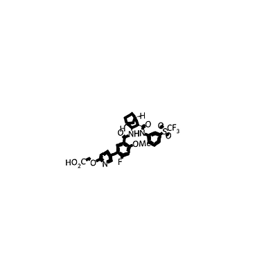 COc1cc(F)c(-c2ccc(OCC(=O)O)nc2)cc1C(=O)N[C@@H]1[C@H]2CC[C@H](C2)[C@@H]1C(=O)Nc1cccc(S(=O)(=O)C(F)(F)F)c1